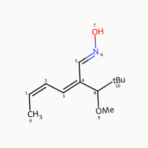 C\C=C/C=C(\C=N\O)C(OC)C(C)(C)C